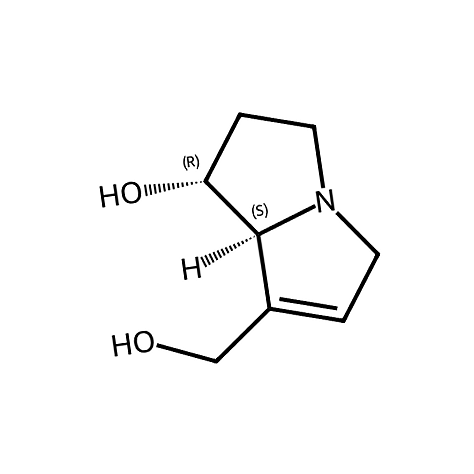 OCC1=CCN2CC[C@@H](O)[C@H]12